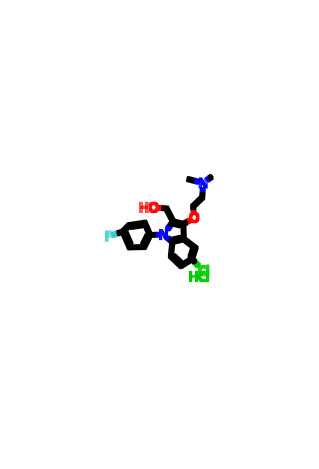 CN(C)CCOc1c(CO)n(-c2ccc(F)cc2)c2ccc(Cl)cc12.Cl